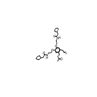 CC(=O)SCc1cc(OCCNC(=O)CC2CCCC2)c(OCCNC(=O)CC2CCCC2)cc1CC=S